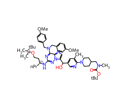 CCC[C@@H](CCO[Si](C)(C)C(C)(C)C)Nc1nc(N(Cc2ccc(OC)cc2)Cc2ccc(OC)cc2)c2ncc(C(O)c3cnc(N4CCC(CN(C)C(=O)OC(C)(C)C)CC4)c(C)c3)n2n1